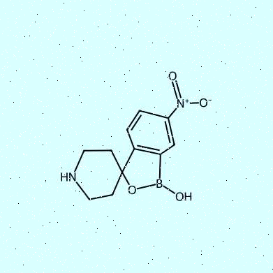 O=[N+]([O-])c1ccc2c(c1)B(O)OC21CCNCC1